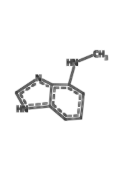 CNc1cccc2[nH]cnc12